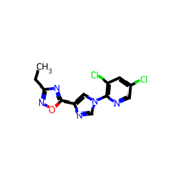 CCc1noc(-c2cn(-c3ncc(Cl)cc3Cl)cn2)n1